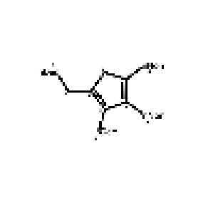 CCCCCCCCCCCC1=C(CCCCCCCCCC)C(CCCCCCCCC)=C(CCCCCCCCC)C1